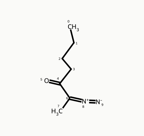 CCCCC(=O)C(C)=[N+]=[N-]